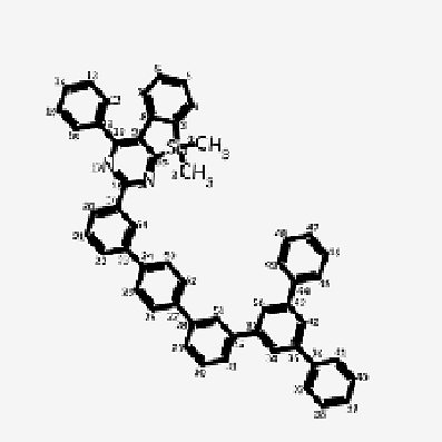 C[Si]1(C)c2ccccc2-c2c(-c3ccccc3)nc(-c3cccc(-c4ccc(-c5cccc(-c6cc(-c7ccccc7)cc(-c7ccccc7)c6)c5)cc4)c3)nc21